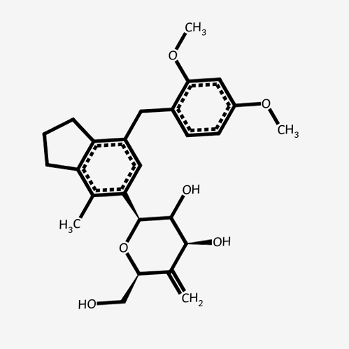 C=C1[C@@H](CO)O[C@@H](c2cc(Cc3ccc(OC)cc3OC)c3c(c2C)CCC3)C(O)[C@H]1O